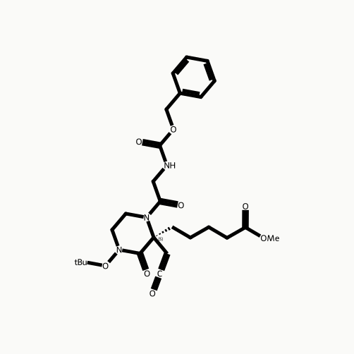 COC(=O)CCCC[C@]1(C=C=O)C(=O)N(OC(C)(C)C)CCN1C(=O)CNC(=O)OCc1ccccc1